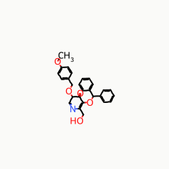 COc1ccc(COC2C=NC(CO)=C(OC(c3ccccc3)c3ccccc3)C2=O)cc1